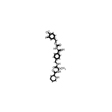 C[C@H](NC(=O)C1CCCCN1)C(=O)NCc1ccc(C(=N)NC(=O)OCc2ccc(Cl)c(F)c2)cc1